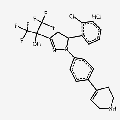 Cl.OC(C1=NN(c2ccc(C3=CCNCC3)cc2)C(c2ccccc2Cl)C1)(C(F)(F)F)C(F)(F)F